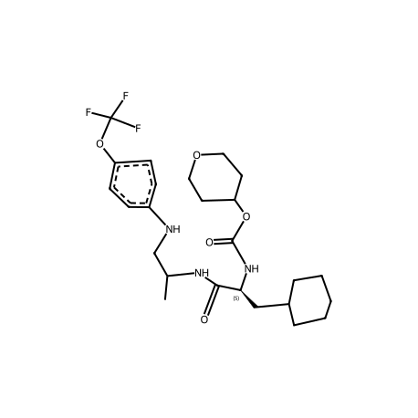 CC(CNc1ccc(OC(F)(F)F)cc1)NC(=O)[C@H](CC1CCCCC1)NC(=O)OC1CCOCC1